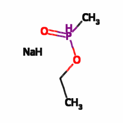 CCO[PH](C)=O.[NaH]